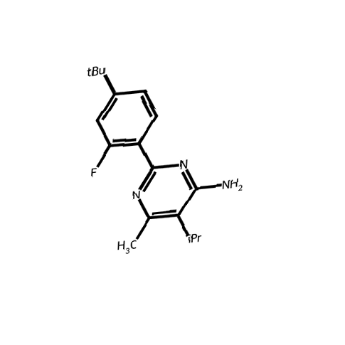 Cc1nc(-c2ccc(C(C)(C)C)cc2F)nc(N)c1C(C)C